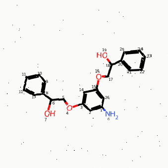 Nc1cc(OCC(O)c2ccccc2)cc(OCC(O)c2ccccc2)c1